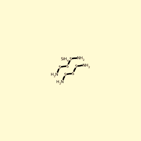 NSSSN.NSSSN.[SiH4]